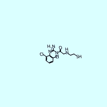 NC(=Nc1c(Cl)cccc1Cl)NC(=O)CNCCS